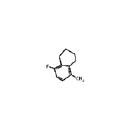 Cc1ccc(F)c2c1CCCC2